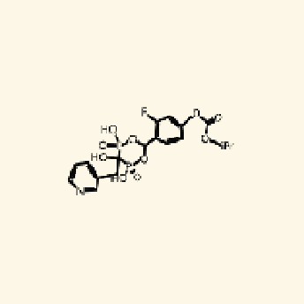 CC(C)OC(=O)Oc1ccc(C2OP(=O)(O)C(O)(Cc3cccnc3)P(=O)(O)O2)c(F)c1